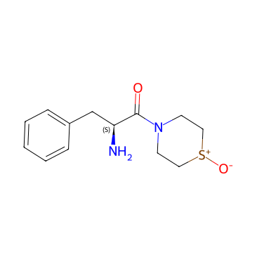 N[C@@H](Cc1ccccc1)C(=O)N1CC[S+]([O-])CC1